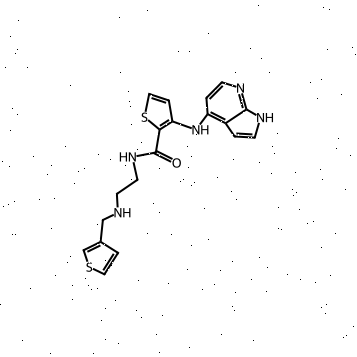 O=C(NCCNCc1ccsc1)c1sccc1Nc1ccnc2[nH]ccc12